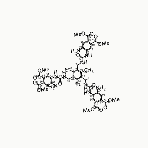 CCc1c(CNC(=O)Nc2cc(C(=O)OC)c(C(=O)OC)cc2N)c(C)c(CNC(=O)Nc2cc(C(=O)OC)c(C(=O)OC)cc2N)c(CC)c1CNC(=O)Nc1cc(C(=O)OC)c(C(=O)OC)cc1N